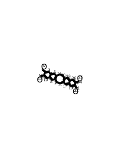 O=Cc1cc2cc3c(cc2cc1C=O)CCc1cc2cc(C=O)c(C=O)cc2cc1CC3